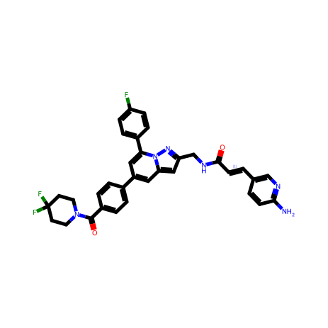 Nc1ccc(/C=C/C(=O)NCc2cc3cc(-c4ccc(C(=O)N5CCC(F)(F)CC5)cc4)cc(-c4ccc(F)cc4)n3n2)cn1